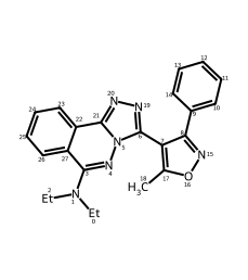 CCN(CC)c1nn2c(-c3c(-c4ccccc4)noc3C)nnc2c2ccccc12